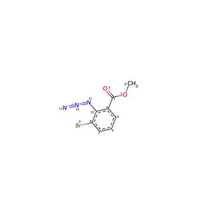 COC(=O)c1cccc(Br)c1N=[N+]=[N-]